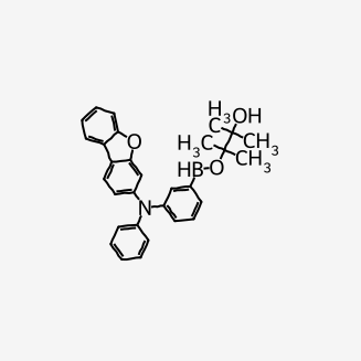 CC(C)(O)C(C)(C)OBc1cccc(N(c2ccccc2)c2ccc3c(c2)oc2ccccc23)c1